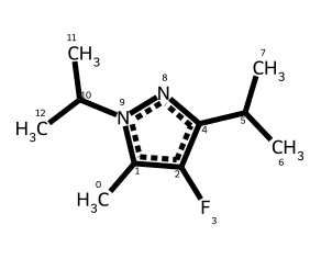 Cc1c(F)c(C(C)C)nn1C(C)C